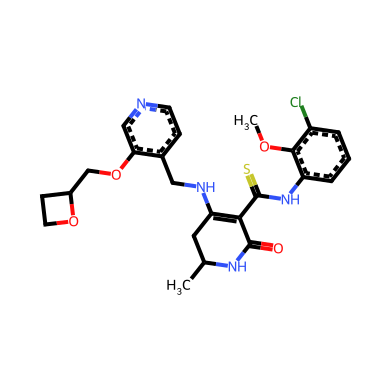 COc1c(Cl)cccc1NC(=S)C1=C(NCc2ccncc2OCC2CCO2)CC(C)NC1=O